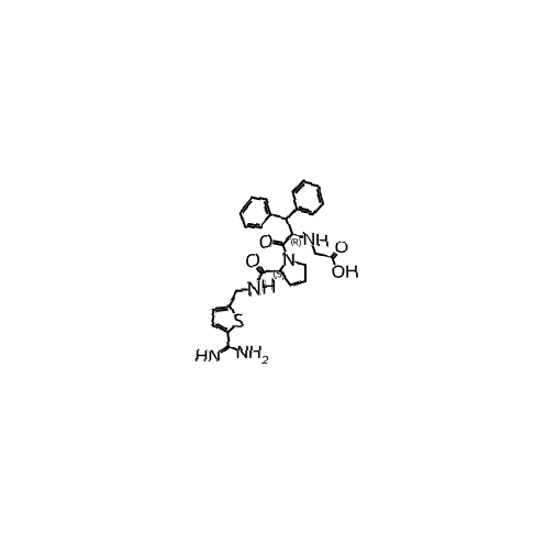 N=C(N)c1ccc(CNC(=O)[C@@H]2CCCN2C(=O)[C@H](NCC(=O)O)C(c2ccccc2)c2ccccc2)s1